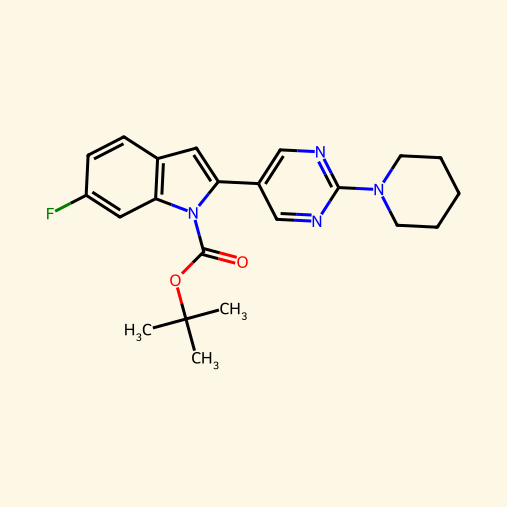 CC(C)(C)OC(=O)n1c(-c2cnc(N3CCCCC3)nc2)cc2ccc(F)cc21